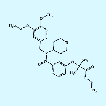 CCOC(=O)C(C)(C)Oc1cccc(C(=O)N(Cc2ccc(OC)c(OCC)c2)C2CCNCC2)c1